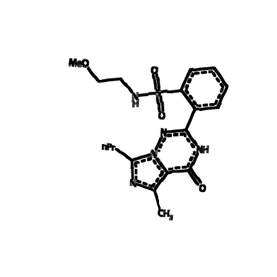 CCCc1nc(C)c2c(=O)[nH]c(-c3ccccc3S(=O)(=O)NCCOC)nn12